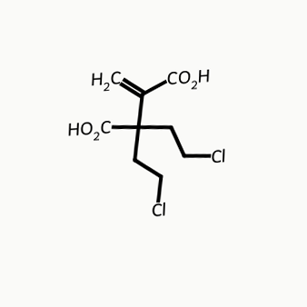 C=C(C(=O)O)C(CCCl)(CCCl)C(=O)O